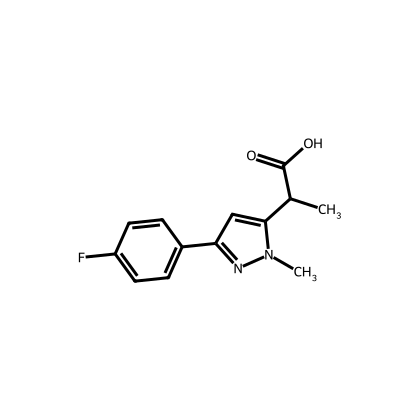 CC(C(=O)O)c1cc(-c2ccc(F)cc2)nn1C